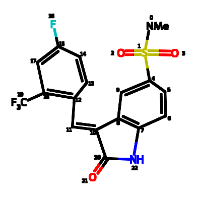 CNS(=O)(=O)c1ccc2c(c1)C(=Cc1ccc(F)cc1C(F)(F)F)C(=O)N2